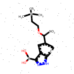 C[Si](C)(C)CCOC(c1ccc2[nH]nc(B(O)O)c2c1)[N+](=O)[O-]